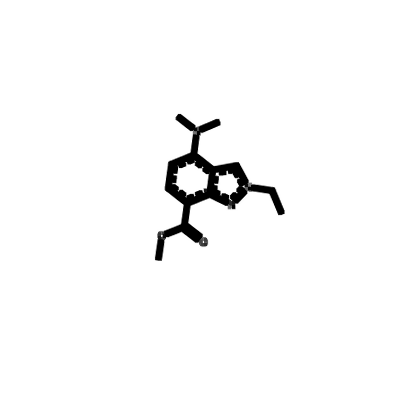 CCn1cc2c(N(C)C)ccc(C(=O)OC)c2n1